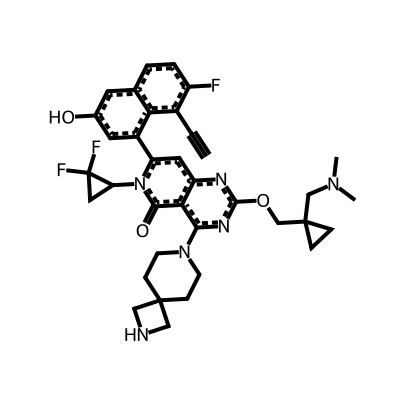 C#Cc1c(F)ccc2cc(O)cc(-c3cc4nc(OCC5(CN(C)C)CC5)nc(N5CCC6(CC5)CNC6)c4c(=O)n3C3CC3(F)F)c12